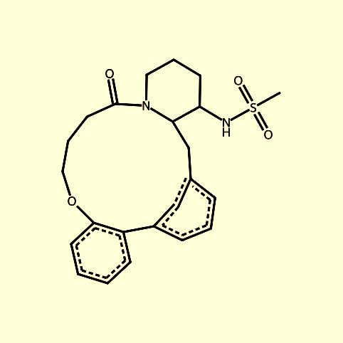 CS(=O)(=O)NC1CCCN2C(=O)CCCOc3ccccc3-c3cccc(c3)CC12